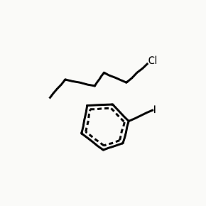 CCCCCCl.Ic1ccccc1